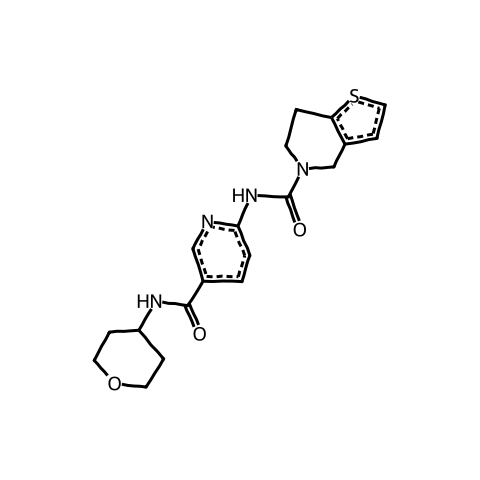 O=C(NC1CCOCC1)c1ccc(NC(=O)N2CCc3sccc3C2)nc1